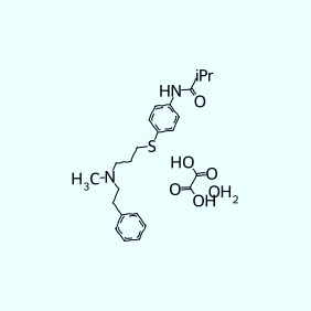 CC(C)C(=O)Nc1ccc(SCCCN(C)CCc2ccccc2)cc1.O.O=C(O)C(=O)O